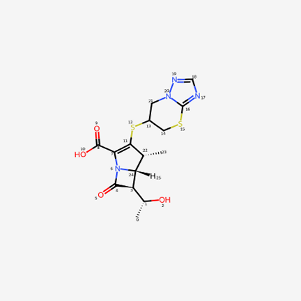 C[C@@H](O)[C@H]1C(=O)N2C(C(=O)O)=C(SC3CSc4ncnn4C3)[C@H](C)[C@H]12